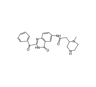 CN1CCNCC1CC(=O)Nc1ccc2nc(C(=O)c3ccccc3)[nH]c(=O)c2c1